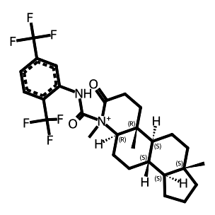 C[C@@]12CCC[C@H]1[C@@H]1CC[C@@H]3[C@](C)(CCC(=O)[N+]3(C)C(=O)Nc3cc(C(F)(F)F)ccc3C(F)(F)F)[C@H]1CC2